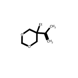 C=C(C)C1(CC)COCOC1